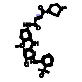 COc1ccc(NC(=O)/C=C/C(=O)N2CCN(C)CC2)cc1Nc1ncc(Cl)c(Nc2ccccc2P(C)(C)=O)n1